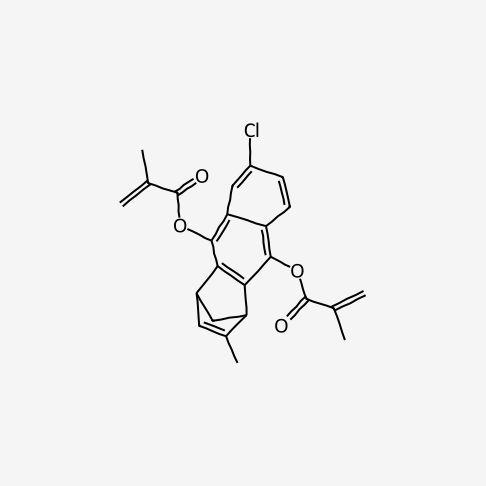 C=C(C)C(=O)Oc1c2c(c(OC(=O)C(=C)C)c3ccc(Cl)cc13)C1CC2C=C1C